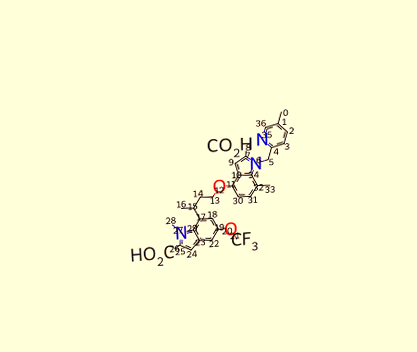 Cc1ccc(Cn2c(C(=O)O)cc3c(OCCC(C)c4cc(OC(F)(F)F)cc5cc(C(=O)O)n(C)c45)ccc(C)c32)nc1